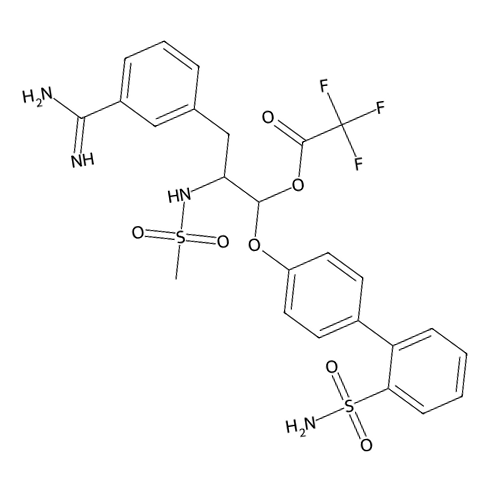 CS(=O)(=O)NC(Cc1cccc(C(=N)N)c1)C(OC(=O)C(F)(F)F)Oc1ccc(-c2ccccc2S(N)(=O)=O)cc1